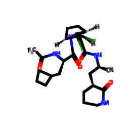 N#C[C@@H](C[C@@H]1CCCNC1=O)NC(=O)[C@@H]1[C@@H]2CC[C@@H](CC2(F)F)N1C(=O)[C@@H](CC1CCC1)NC(=O)C(F)(F)F